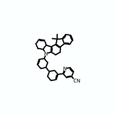 CC1(C)C2=C(CCC3=C2C2C=CCCC2N3C2C=CCC(C3CCC=C(c4cc(C#N)ccn4)C3)C2)c2ccccc21